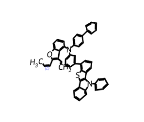 C=Cc1c(/C=C\C)oc2cccc(N(c3ccc(-c4ccccc4)cc3)c3cccc(-c4cccc5c4sc4c6ccccc6n(-c6ccccc6)c54)c3)c12